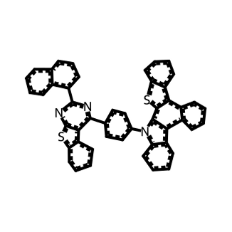 c1ccc2c(-c3nc(-c4ccc(-n5c6ccccc6c6c7ccccc7c7c8ccccc8sc7c65)cc4)c4c(n3)sc3ccccc34)cccc2c1